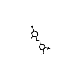 Cc1cc(C#N)ccc1C(=O)Nc1ccc(C=O)c(C(F)(F)F)c1